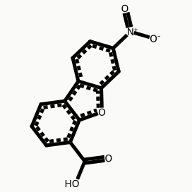 O=C(O)c1cccc2c1oc1cc([N+](=O)[O-])ccc12